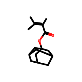 CC(C)=C(C)C(=O)OC12CC3CC(CC(C3)C1)C2